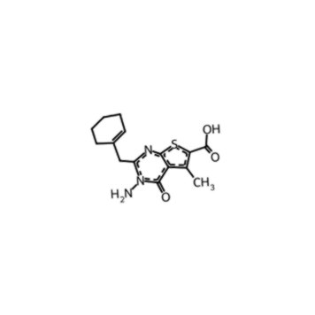 Cc1c(C(=O)O)sc2nc(CC3=CCCCC3)n(N)c(=O)c12